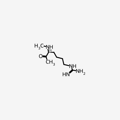 CN[C@@H](CCCCNC(=N)N)C(C)=O